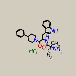 CC(C)(N)C(=O)NC(Cc1c[nH]c2ccccc12)C(=O)N1CCC(c2ccccc2)CC1.Cl